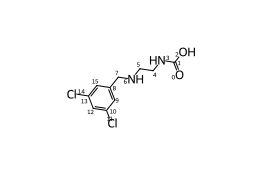 O=C(O)NCCNCc1cc(Cl)cc(Cl)c1